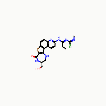 CC/C(=N\C(Cl)=N/C)Nc1ccc2c(ccc3sc4c(c32)NC[C@@H](CO)NC4=O)n1